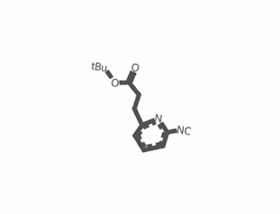 [C-]#[N+]c1cccc(CCC(=O)OC(C)(C)C)n1